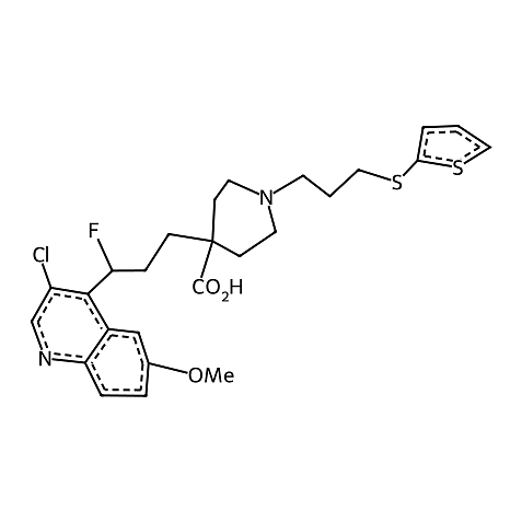 COc1ccc2ncc(Cl)c(C(F)CCC3(C(=O)O)CCN(CCCSc4cccs4)CC3)c2c1